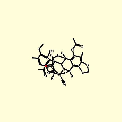 COc1c(C)cc2c(c1O)[C@@H]1C3[C@@H]4SCC(OC(C)=O)C(=O)OC[C@@H](c5c6c(c(C)c(OC(C)=O)c54)OCO6)N3[C@@H](C#N)[C@H](C2)N1C